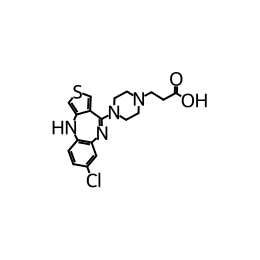 O=C(O)CCN1CCN(C2=Nc3cc(Cl)ccc3Nc3cscc32)CC1